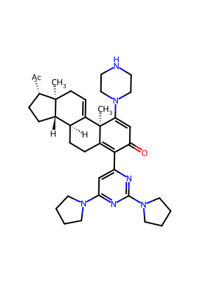 CC(=O)[C@H]1CC[C@H]2[C@@H]3CCC4=C(c5cc(N6CCCC6)nc(N6CCCC6)n5)C(=O)C=C(N5CCNCC5)[C@]4(C)C3=CC[C@]12C